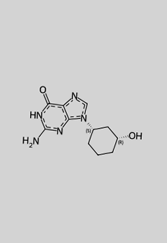 Nc1nc2c(ncn2[C@H]2CCC[C@@H](O)C2)c(=O)[nH]1